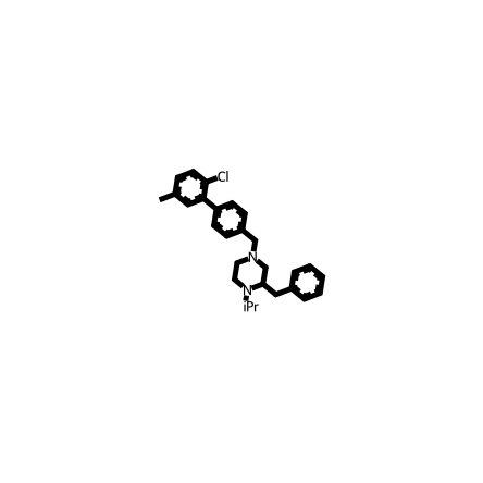 Cc1ccc(Cl)c(-c2ccc(CN3CCN(C(C)C)C(Cc4ccccc4)C3)cc2)c1